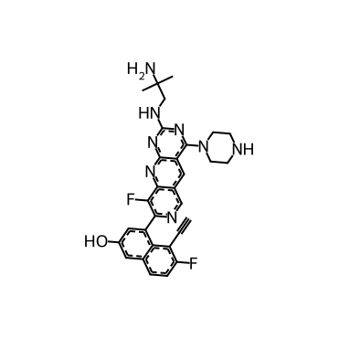 C#Cc1c(F)ccc2cc(O)cc(-c3ncc4cc5c(N6CCNCC6)nc(NCC(C)(C)N)nc5nc4c3F)c12